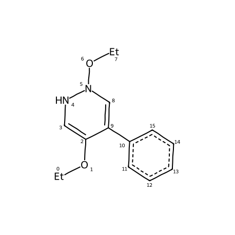 CCOC1=CNN(OCC)C=C1c1ccccc1